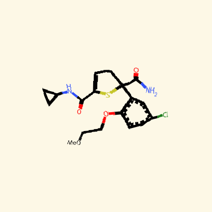 COCCOc1ccc(Cl)cc1C1(C(N)=O)CC=C(C(=O)NC2CC2)S1